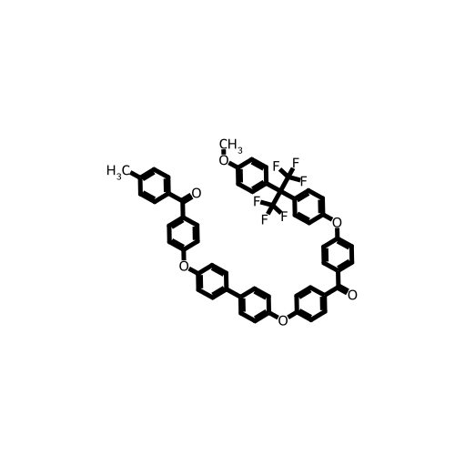 COc1ccc(C(c2ccc(Oc3ccc(C(=O)c4ccc(Oc5ccc(-c6ccc(Oc7ccc(C(=O)c8ccc(C)cc8)cc7)cc6)cc5)cc4)cc3)cc2)(C(F)(F)F)C(F)(F)F)cc1